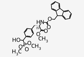 COC(=O)[C@H](Cc1ccc(C(O)P(=O)(OC)OC)cc1)NC(=O)OCC1c2ccccc2-c2ccccc21